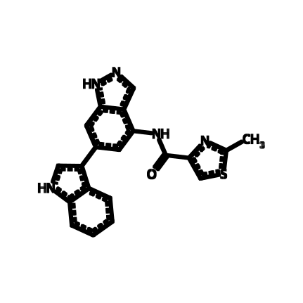 Cc1nc(C(=O)Nc2cc(-c3c[nH]c4ccccc34)cc3[nH]ncc23)cs1